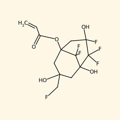 C=CC(=O)OC12CC(O)(CF)CC(O)(C(F)(F)C(O)(F)C1)C2(F)F